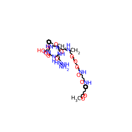 C=C(CCOCCOCCOCCNC(=O)CCCC(=O)Nc1ccc(CCC(=O)CC(C)=O)cc1)NCCCC[C@H]1C(=O)N[C@@H](CCCNC(=N)N)C(=O)NCC(=O)N[C@@H](CC(=O)O)C(=O)N[C@H](Cc2ccccc2)C(=O)N1C